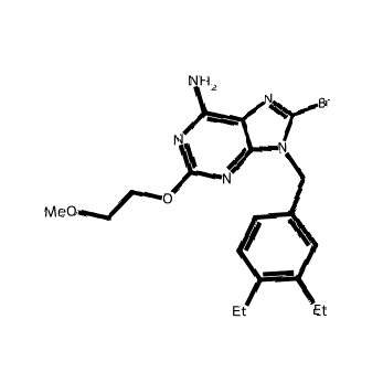 CCc1ccc(Cn2c(Br)nc3c(N)nc(OCCOC)nc32)cc1CC